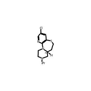 CC(C)N1CCN2c3ncc(Cl)cc3SCC[C@@H]2C1